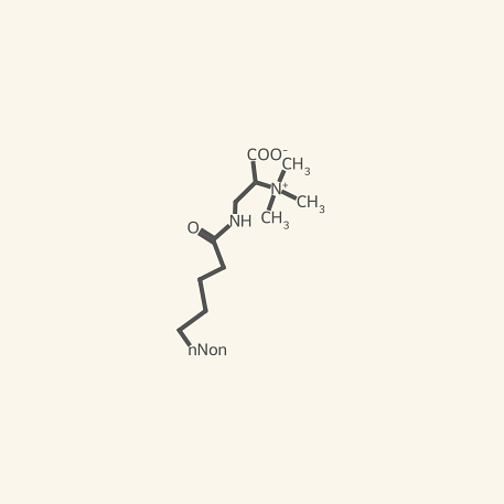 CCCCCCCCCCCCCC(=O)NCC(C(=O)[O-])[N+](C)(C)C